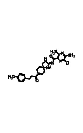 Cc1ccc(CCC(=O)N2CCC3(CC2)CN/C(=N\C(=O)c2nc(Cl)c(N)nc2N)N3)cc1